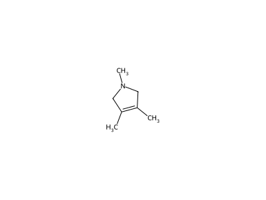 CC1=C(C)CN(C)C1